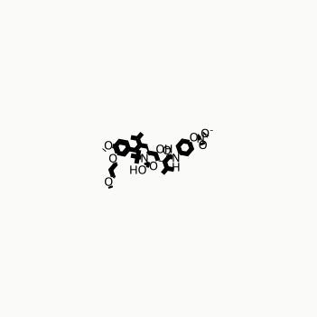 COCCCOc1cc(CC(C[C@@H]([C@@H](O)C[C@H](C(=O)NC2CCC(O[N+](=O)[O-])CC2)C(C)C)N(C(=O)O)C(C)(C)C)C(C)C)ccc1OC